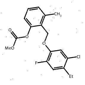 CCc1cc(F)c(OCc2c(C)cccc2OC(=O)OC)cc1Cl